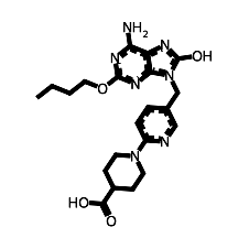 CCCCOc1nc(N)c2nc(O)n(Cc3ccc(N4CCC(C(=O)O)CC4)nc3)c2n1